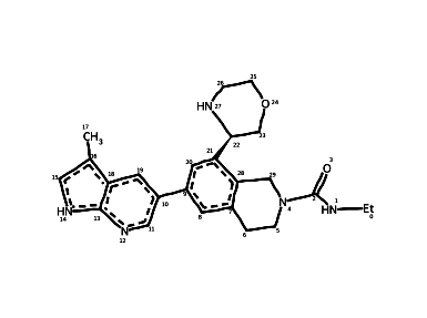 CCNC(=O)N1CCc2cc(-c3cnc4[nH]cc(C)c4c3)cc([C@@H]3COCCN3)c2C1